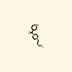 NCCN1CCN(C(=O)C2CCNCC2)CC1